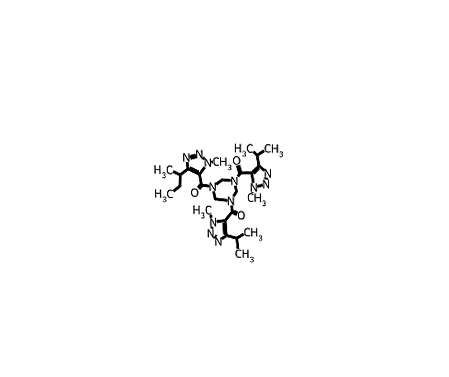 CCC(C)c1nnn(C)c1C(=O)N1CN(C(=O)c2c(C(C)C)nnn2C)CN(C(=O)c2c(C(C)C)nnn2C)C1